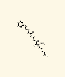 NCCCC[C@@H](N)C(=O)NCCOC(=O)CCCSc1ccccc1